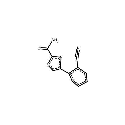 N#Cc1ccccc1-c1csc(C(N)=O)n1